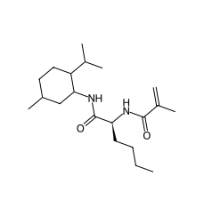 C=C(C)C(=O)N[C@@H](CCCC)C(=O)NC1CC(C)CCC1C(C)C